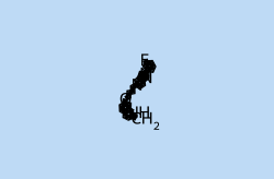 C=C1CCc2ccc(OCCCCN3CCc4nn(-c5cccc(F)c5)cc4C3)cc2N1